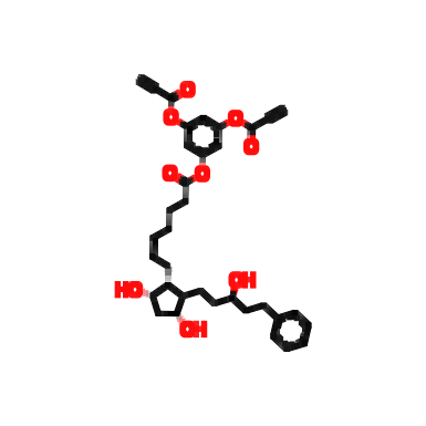 C#CC(=O)Oc1cc(OC(=O)C#C)cc(OC(=O)CCC/C=C\C[C@@H]2C(CC[C@@H](O)CCc3ccccc3)[C@H](O)C[C@@H]2O)c1